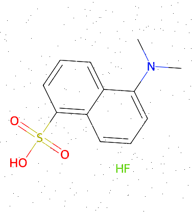 CN(C)c1cccc2c(S(=O)(=O)O)cccc12.F